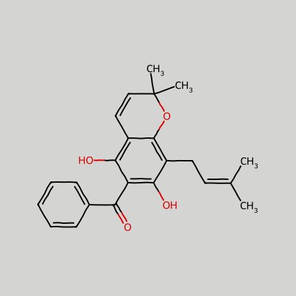 CC(C)=CCc1c(O)c(C(=O)c2ccccc2)c(O)c2c1OC(C)(C)C=C2